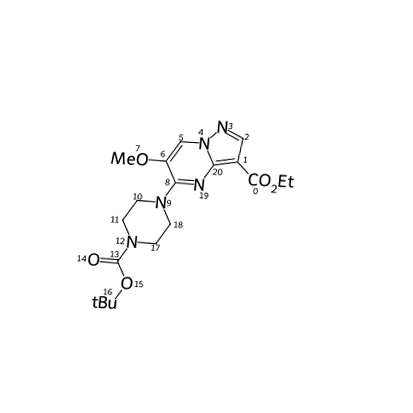 CCOC(=O)c1cnn2cc(OC)c(N3CCN(C(=O)OC(C)(C)C)CC3)nc12